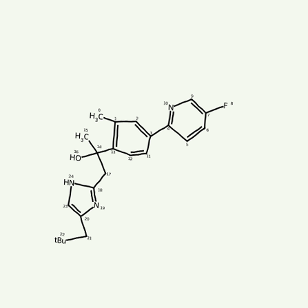 Cc1cc(-c2ccc(F)cn2)ccc1C(C)(O)Cc1nc(CC(C)(C)C)c[nH]1